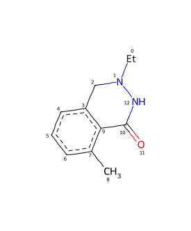 CCN1Cc2cccc(C)c2C(=O)N1